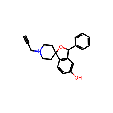 C#CCN1CCC2(CC1)OC(c1ccccc1)c1cc(O)ccc12